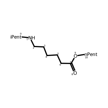 [CH2]CCC(C)NCCCCCC(=O)OCCCCC